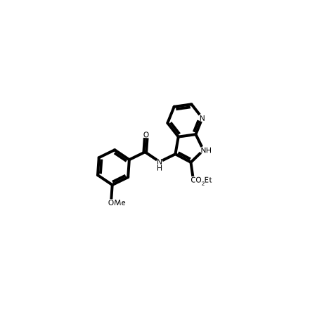 CCOC(=O)c1[nH]c2ncccc2c1NC(=O)c1cccc(OC)c1